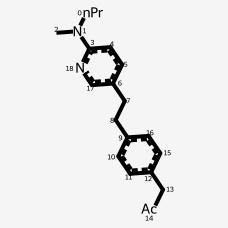 CCCN(C)c1ccc(CCc2ccc(CC(C)=O)cc2)cn1